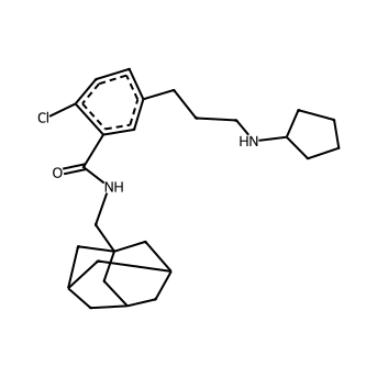 O=C(NCC12CC3CC(CC(C3)C1)C2)c1cc(CCCNC2CCCC2)ccc1Cl